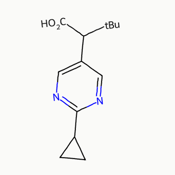 CC(C)(C)C(C(=O)O)c1cnc(C2CC2)nc1